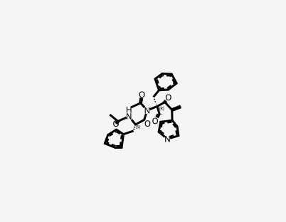 C=C(C(=O)[C@]([C]=O)(Cc1ccccc1)N(C(C)=O)C(=O)[C@H](Cc1ccccc1)NC(C)=O)c1ccncc1